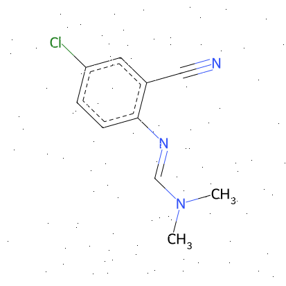 CN(C)C=Nc1ccc(Cl)cc1C#N